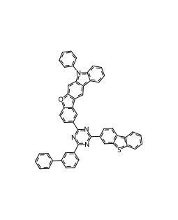 c1ccc(-c2cccc(-c3nc(-c4ccc5c(c4)sc4ccccc45)nc(-c4ccc5oc6cc7c(cc6c5c4)c4ccccc4n7-c4ccccc4)n3)c2)cc1